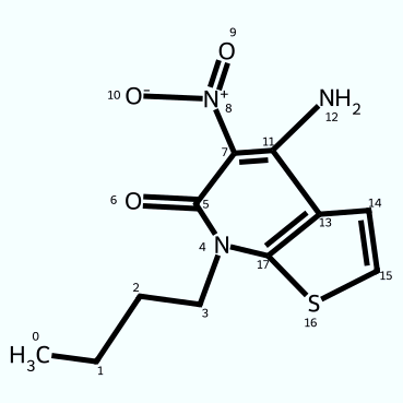 CCCCn1c(=O)c([N+](=O)[O-])c(N)c2ccsc21